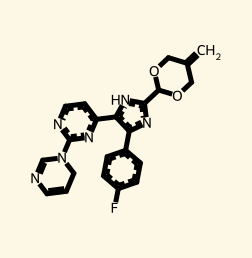 C=C1COC(c2nc(-c3ccc(F)cc3)c(-c3ccnc(N4C=NC=CC4)n3)[nH]2)OC1